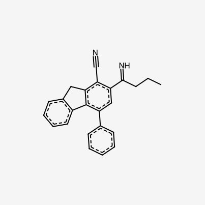 CCCC(=N)c1cc(-c2ccccc2)c2c(c1C#N)Cc1ccccc1-2